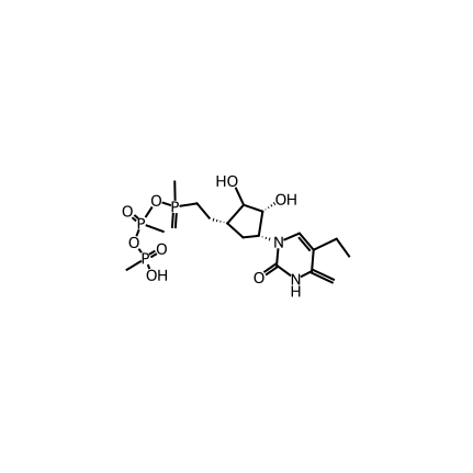 C=C1NC(=O)N([C@@H]2C[C@H](CCP(=C)(C)OP(C)(=O)OP(C)(=O)O)C(O)[C@@H]2O)C=C1CC